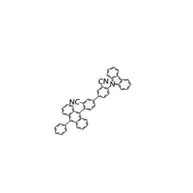 N#Cc1cc(-c2ccc(-n3c4ccccc4c4ccccc43)c(C#N)c2)ccc1-c1c2ccccc2c(-c2ccccc2)c2ccccc12